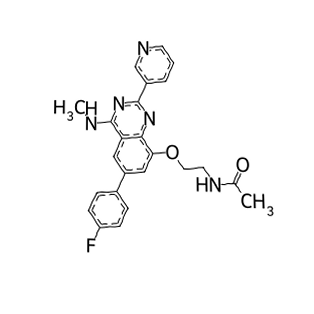 CNc1nc(-c2cccnc2)nc2c(OCCNC(C)=O)cc(-c3ccc(F)cc3)cc12